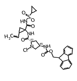 C=CC1CC1(NC(=O)[C@@H]1C[C@@H](NC(=O)OCC2c3ccccc3-c3ccccc32)CN1Cl)C(=O)NS(=O)(=O)C1CC1